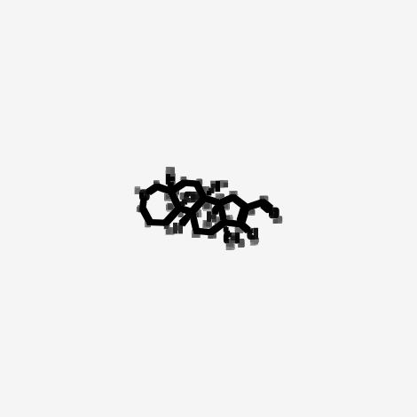 C[C@]12CCCOC[C@@H]1CC[C@@H]1[C@@H]2CC[C@]2(C)C(Cl)=C(C=O)C[C@@H]12